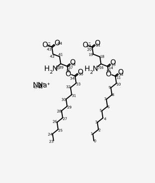 CCCCCCCCCCCC(=O)OC(=O)C(N)CCC(=O)[O-].CCCCCCCCCCCC(=O)OC(=O)C(N)CCC(=O)[O-].[Na+].[Na+]